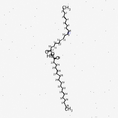 CCCCCCCC/C=C\CCCCCCCC(=O)ONC(=O)CCCCCCCCCCCCCCCCC